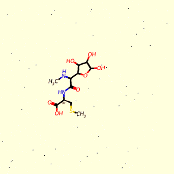 CNC(C(=O)N[C@@H](CSC)C(=O)O)C1OC(O)C(O)C1O